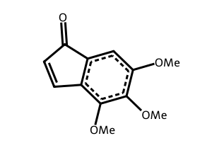 COc1cc2c(c(OC)c1OC)C=CC2=O